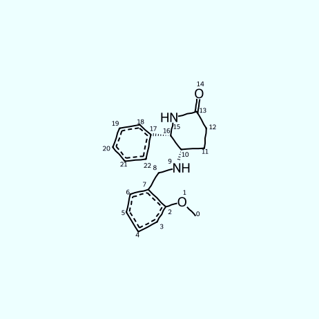 COc1ccccc1CN[C@H]1CCC(=O)N[C@H]1c1ccccc1